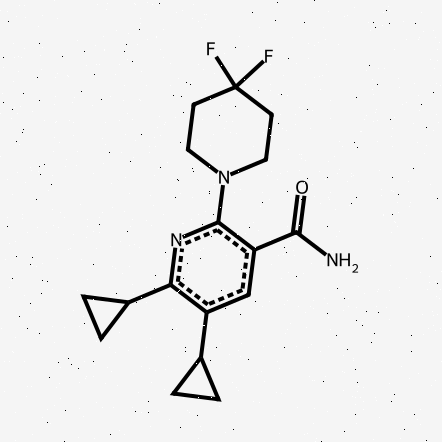 NC(=O)c1cc(C2CC2)c(C2CC2)nc1N1CCC(F)(F)CC1